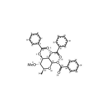 CO[C@@H]1[C@@H](OC(=O)c2ccccc2)[C@@H](OC(=O)c2ccccc2)C(OC(=O)c2ccccc2)O[C@H]1C